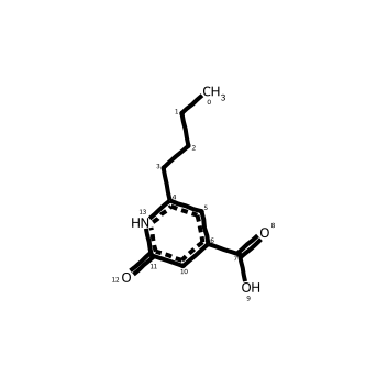 CCCCc1cc(C(=O)O)cc(=O)[nH]1